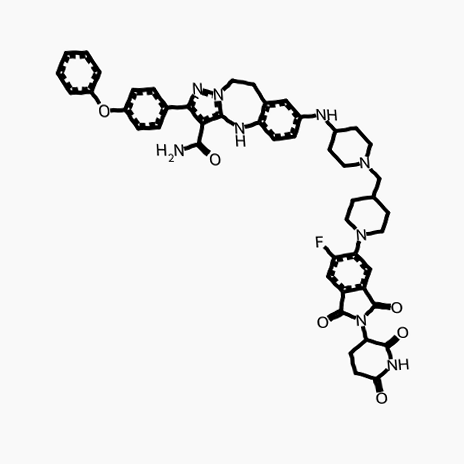 NC(=O)c1c(-c2ccc(Oc3ccccc3)cc2)nn2c1Nc1ccc(NC3CCN(CC4CCN(c5cc6c(cc5F)C(=O)N(C5CCC(=O)NC5=O)C6=O)CC4)CC3)cc1CC2